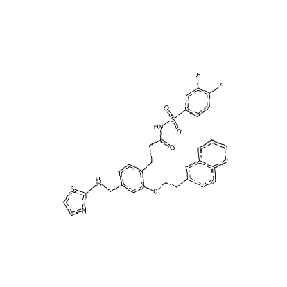 O=C(CCc1ccc(CNc2nccs2)cc1OCCc1ccc2ccccc2c1)NS(=O)(=O)c1ccc(F)c(F)c1